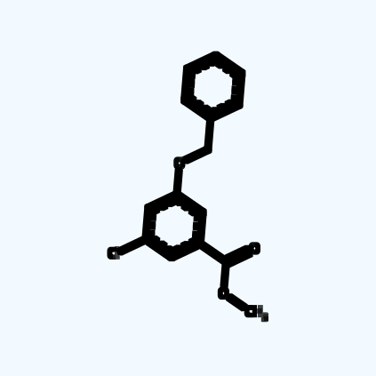 COC(=O)c1cc(Cl)cc(OCc2ccccc2)c1